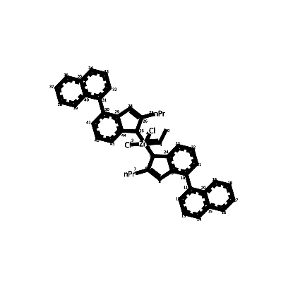 C[CH]=[Zr]([Cl])([Cl])([CH]1C(CCC)=Cc2c(-c3cccc4ccccc34)cccc21)[CH]1C(CCC)=Cc2c(-c3cccc4ccccc34)cccc21